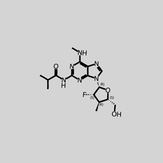 CNc1nc(NC(=O)C(C)C)nc2c1ncn2[C@@H]1O[C@H](CO)[C@@H](C)[C@@H]1F